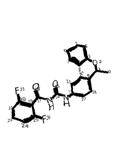 CC(Oc1ccccc1)c1ccc(NC(=O)NC(=O)c2c(F)cccc2F)cc1